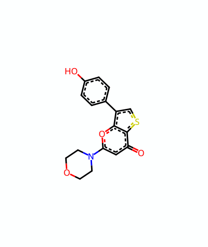 O=c1cc(N2CCOCC2)oc2c(-c3ccc(O)cc3)csc12